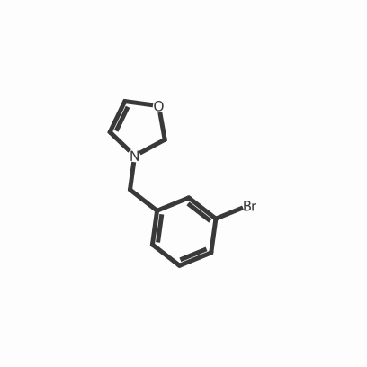 Brc1cccc(CN2C=COC2)c1